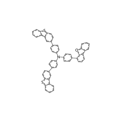 c1ccc2c(c1)oc1c(-c3ccc(N(c4ccc(-c5ccc6sc7ccccc7c6c5)cc4)c4ccc(-c5ccc6sc7ccccc7c6c5)cc4)cc3)cccc12